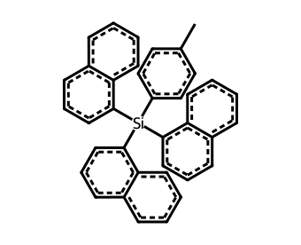 Cc1ccc([Si](c2cccc3ccccc23)(c2cccc3ccccc23)c2cccc3ccccc23)cc1